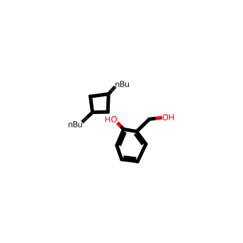 CCCCC1CC(CCCC)C1.OCc1ccccc1O